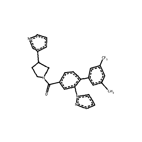 Cc1cc(-c2ccc(C(=O)N3CCC(c4cccnc4)C3)cc2-n2cccn2)cc(C(F)(F)F)c1